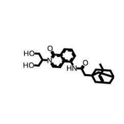 CC12C=C3CC(C1)CC(CC(=O)Nc1cccc4c(=O)n(C(CO)CO)ccc14)(C3)C2